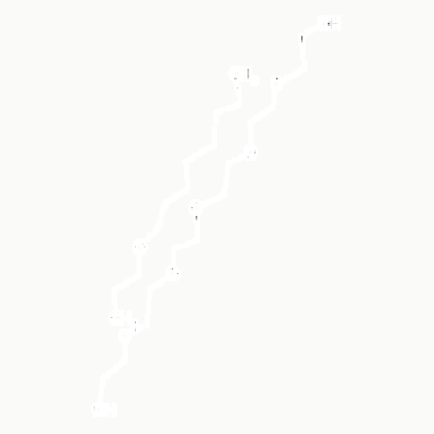 CCCCCCCCOCCC.OCCOCCOCCOCCOCCOCCO